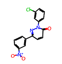 O=c1ccc(-c2cccc([N+](=O)[O-])c2)nn1-c1cccc(Cl)c1